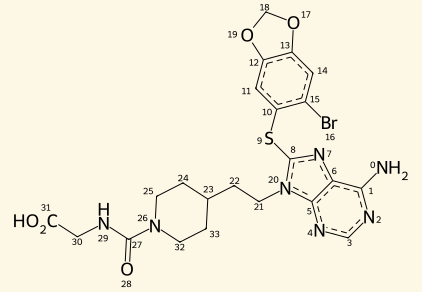 Nc1ncnc2c1nc(Sc1cc3c(cc1Br)OCO3)n2CCC1CCN(C(=O)NCC(=O)O)CC1